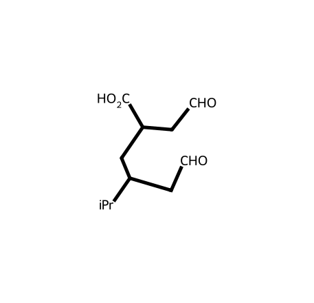 CC(C)C(CC=O)CC(CC=O)C(=O)O